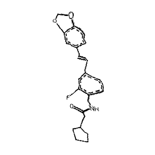 O=C(Nc1ccc(/C=C/c2ccc3c(c2)OCO3)cc1F)C1CCCC1